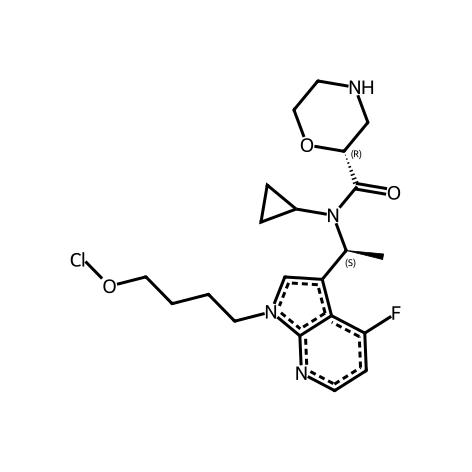 C[C@@H](c1cn(CCCCOCl)c2nccc(F)c12)N(C(=O)[C@H]1CNCCO1)C1CC1